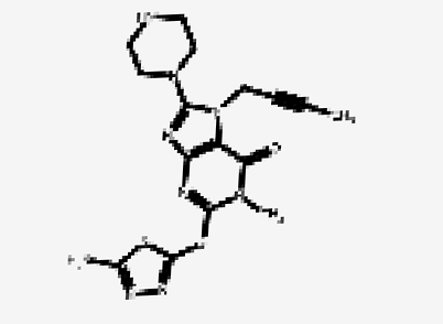 CC#CCn1c(N2CCNCC2)nc2nc(Sc3nnc(N)s3)n(C)c(=O)c21